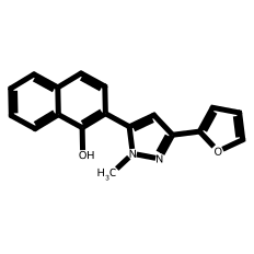 Cn1nc(-c2ccco2)cc1-c1ccc2ccccc2c1O